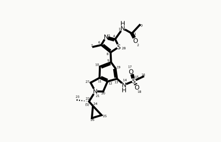 CC(=O)Nc1nc(C)c(-c2cc3c(c(NS(C)(=O)=O)c2)CN([C@@H](C)C2CC2)C3)s1